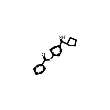 N=C(c1ccc(OC(=O)c2ccccc2)cc1)C1CCCC1